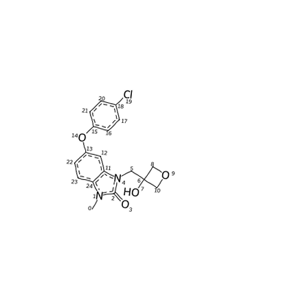 Cn1c(=O)n(CC2(O)COC2)c2cc(Oc3ccc(Cl)cc3)ccc21